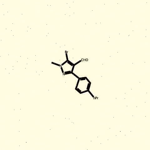 CCCc1ccc(-c2nn(C)c(Br)c2C=O)cc1